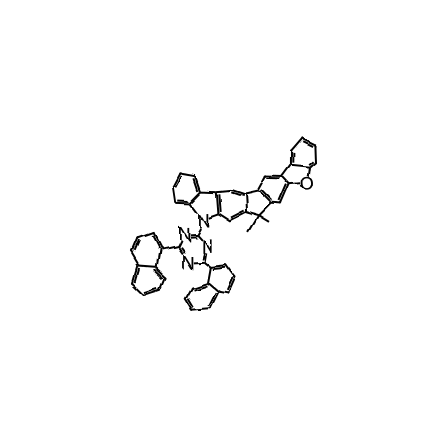 CC1(C)c2cc3oc4ccccc4c3cc2-c2cc3c4ccccc4n(-c4nc(-c5cccc6ccccc56)nc(-c5cccc6ccccc56)n4)c3cc21